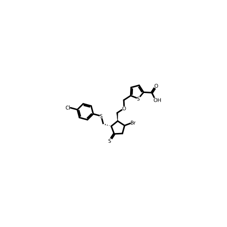 O=C(O)c1ccc(COC[C@H]2C(Br)CC(=S)[C@@H]2CSc2ccc(Cl)cc2)s1